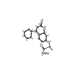 CNC(=O)C(C)Oc1ccc2c(-c3ccccc3)cc(=O)oc2c1